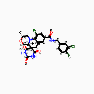 C[C@@H]1CN2c3c(F)cc(C(=O)NCc4ccc(F)c(Cl)c4)cc3CC3(C(=O)NC(=O)NC3=O)[C@H]2[C@H](C)O1